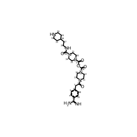 N=C(N)c1ccc(CC(=O)N2CCN(C(=O)OC(=O)N3CCN(C(=O)NCCC4CCNCC4)CC3)CC2)cc1